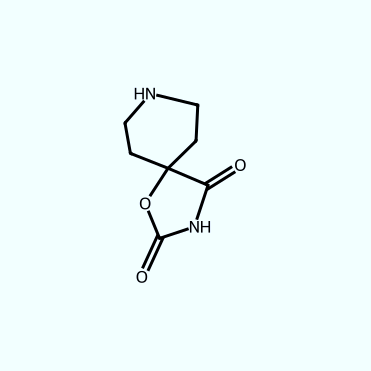 O=C1NC(=O)C2(CCNCC2)O1